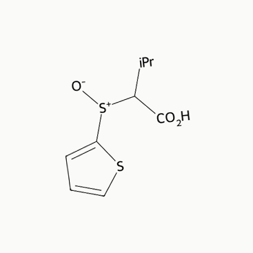 CC(C)C(C(=O)O)[S+]([O-])c1cccs1